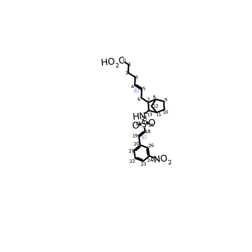 O=C(O)CCC/C=C/CC1C2CCC(C2)C1NS(=O)(=O)/C=C/c1cccc([N+](=O)[O-])c1